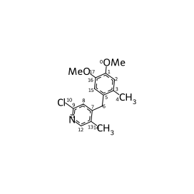 COc1cc(C)c(Cc2cc(Cl)ncc2C)cc1OC